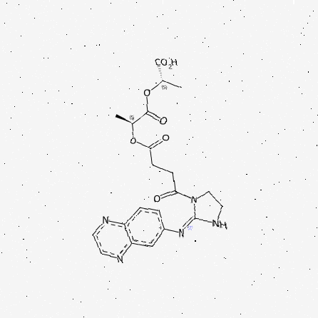 C[C@H](OC(=O)[C@H](C)OC(=O)CCC(=O)N1CCN/C1=N/c1ccc2nccnc2c1)C(=O)O